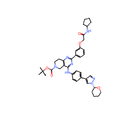 CC(C)(C)OC(=O)N1CCc2nc(-c3cccc(OCC(=O)NC4CCCC4)c3)nc(Nc3ccc(-c4cnn(C5CCCCO5)c4)cc3)c2C1